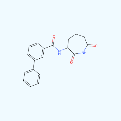 O=C1CCCC(NC(=O)c2cccc(-c3ccccc3)c2)C(=O)N1